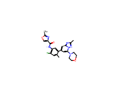 Cc1nc2cc(-c3cc(NC(=O)c4coc(C(C)(C)C)n4)c(F)cc3C)cc(N3CCOCC3)n2n1